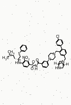 CN(C)CC[C@H](CSc1ccccc1)Nc1ccc(S(=O)(=O)NC(=O)c2cccc(N3CCN(Cc4cc(CN5C[C@H]6C[C@@H]5CN6)ccc4-c4ccc(Cl)cc4)CC3)c2)cc1[N+](=O)[O-]